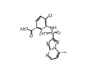 Cc1ccnc2nc(S(=O)(=O)Nc3c(Cl)ccc(C(=O)O)c3Cl)nn12